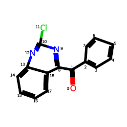 O=C(c1ccccc1)c1nc(Cl)nc2ccccc12